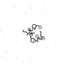 CCCC(C)NC(=O)C(C)N1CCCC(C=O)C1.CCCC(C)NC(=O)CN1CCCC(C=O)C1